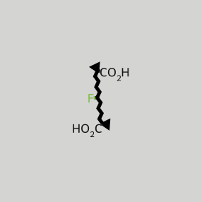 O=C(O)C1(CCCCC(F)CCCCC2(C(=O)O)CC2)CC1